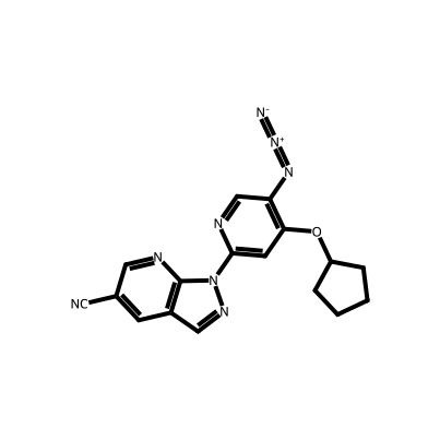 N#Cc1cnc2c(cnn2-c2cc(OC3CCCC3)c(N=[N+]=[N-])cn2)c1